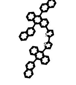 c1ccc2cc(-c3c4ccccc4c(-c4ccc5ccccc5c4)c4cc(-c5ccc(-c6ccc(-c7c8ccccc8c(-c8ccc9ccccc9c8)c8ccccc78)s6)s5)ccc34)ccc2c1